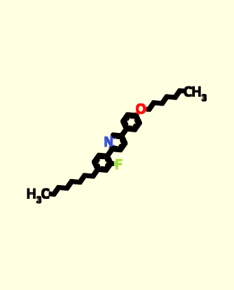 CCCCCCCCc1ccc(-c2ccc(-c3ccc(OCCCCCCC)cc3)cn2)c(F)c1